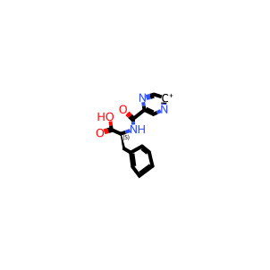 O=C(N[C@@H](Cc1ccccc1)C(=O)O)C1=CN=[C+]C=N1